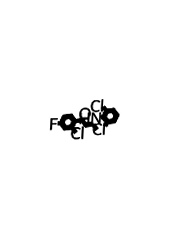 C/C(=C/C(=O)c1ccc(F)cc1Cl)Nc1c(Cl)cccc1Cl